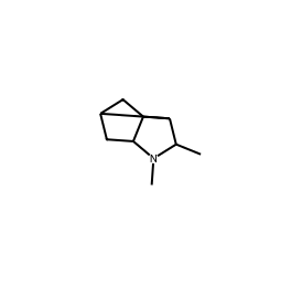 CC1C2C3CC2C(C3)N1C